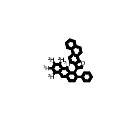 [2H]c1c([2H])c([2H])c2c([2H])c3c(-c4coc5c4ccc4c6ccccc6ccc45)c(-c4ccccc4)ccc3cc2c1[2H]